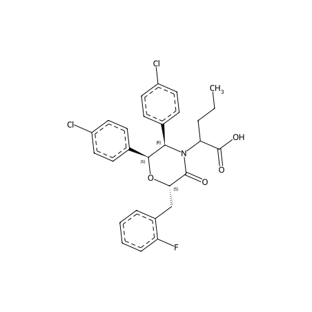 CCCC(C(=O)O)N1C(=O)[C@H](Cc2ccccc2F)O[C@@H](c2ccc(Cl)cc2)[C@H]1c1ccc(Cl)cc1